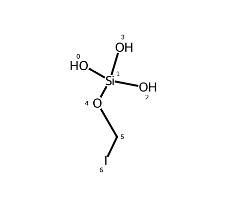 O[Si](O)(O)OCI